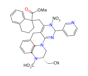 COC(=O)C1(CC2=C(Cc3ccccc3)C(N3CCN(C(=O)O)[C@@H](CC#N)C3)=NC(c3cccnc3)N2[N+](=O)[O-])CCCc2ccccc21